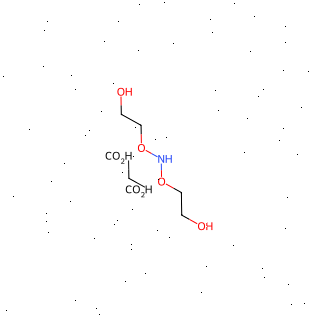 O=C(O)CC(=O)O.OCCONOCCO